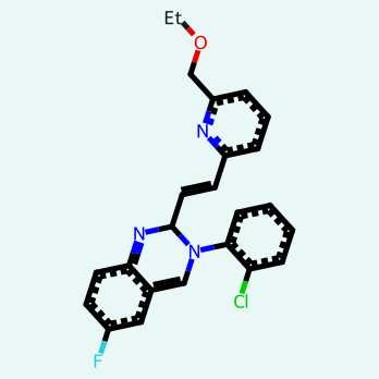 CCOCc1cccc(C=CC2N=c3ccc(F)cc3=CN2c2ccccc2Cl)n1